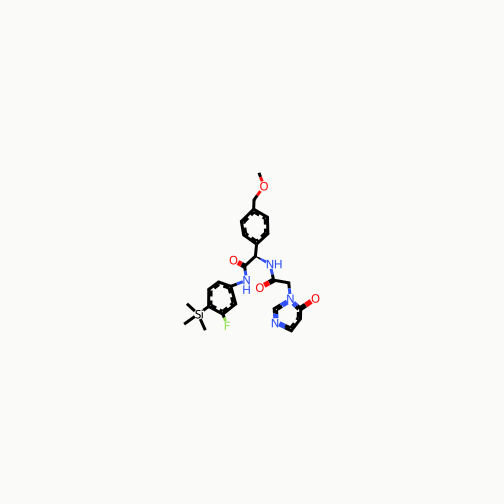 COCc1ccc([C@@H](NC(=O)Cn2cnccc2=O)C(=O)Nc2ccc([Si](C)(C)C)c(F)c2)cc1